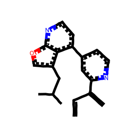 C=CC(=C)c1cc(-c2ccnc3occ(CC(C)C)c23)ccn1